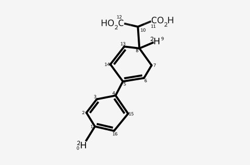 [2H]c1ccc(C2=CCC([2H])(C(C(=O)O)C(=O)O)C=C2)cc1